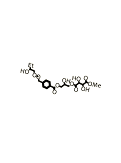 CCC(O)COOCc1ccc(C(=O)OCC(O)COC(=O)C(O)C(O)C(=O)OC)cc1